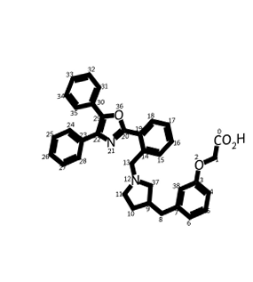 O=C(O)COc1cccc(CC2CCN(Cc3ccccc3-c3nc(-c4ccccc4)c(-c4ccccc4)o3)C2)c1